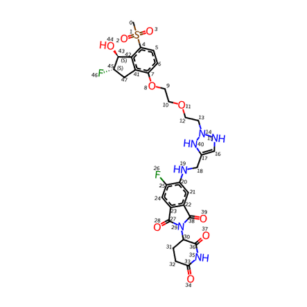 CS(=O)(=O)c1ccc(OCCOCCN2NC=C(CNc3cc4c(cc3F)C(=O)N(C3CCC(=O)NC3=O)C4=O)N2)c2c1[C@H](O)[C@@H](F)C2